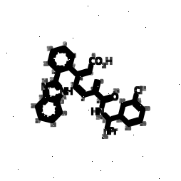 C=C(/C=C\C(=C\C(=O)O)c1ccccc1-c1nc2ccccc2[nH]1)C(=O)NC(CCC)C1C=CC=C(Cl)C1